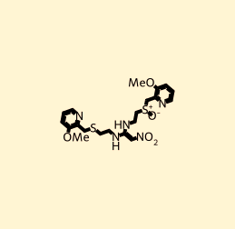 COc1cccnc1CSCCN/C(=C/[N+](=O)[O-])NCC[S+]([O-])Cc1ncccc1OC